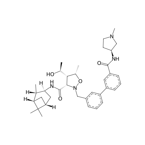 C[C@@H]1[C@@H](NC(=O)[C@@H]2[C@H]([C@H](C)O)[C@H](C)ON2Cc2cccc(-c3cccc(C(=O)N[C@H]4CCN(C)C4)c3)c2)C[C@H]2C[C@@H]1C2(C)C